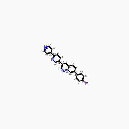 Ic1ccc(-c2ccc3cc(-c4ccc(-c5ccncc5)nc4)cnc3c2)cc1